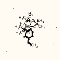 C=Cc1ccc([Si](O[Si](C)(C)C)(O[Si](C)(C)C)O[Si](C)(C)C)cc1